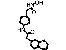 O=C(Cc1ccc(NC(=O)Cc2ccc3ccccc3c2)cc1)NO